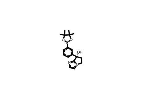 CC1(C)OB(c2cccc([C@@]3(O)CCn4ccnc43)c2)OC1(C)C